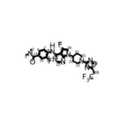 CN(C)C(=O)c1ccc(Nc2ncnc3c2c(F)cn3C2CCN(c3noc(CC(F)(F)F)n3)CC2)c(F)c1